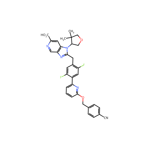 CC1(C)COCC1n1c(Cc2cc(F)c(-c3cccc(OCc4ccc(C#N)cc4)n3)cc2F)nc2cnc(C(=O)O)cc21